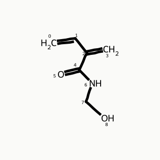 C=CC(=C)C(=O)NCO